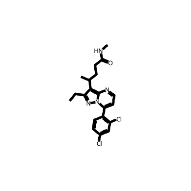 CCc1nn2c(-c3ccc(Cl)cc3Cl)ccnc2c1C(C)CCC(=O)NC